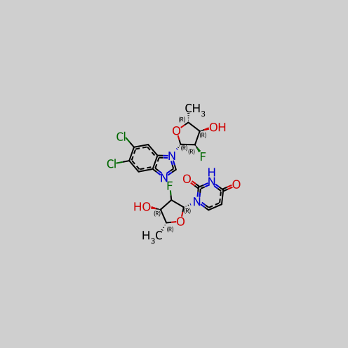 C[C@H]1O[C@@H](n2ccc(=O)[nH]c2=O)C(F)[C@@H]1O.C[C@H]1O[C@@H](n2cnc3cc(Cl)c(Cl)cc32)[C@H](F)[C@@H]1O